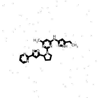 CCc1cc(Nc2cc(C)nc(N3CCCC3c3cc(-c4ncccn4)no3)n2)n[nH]1